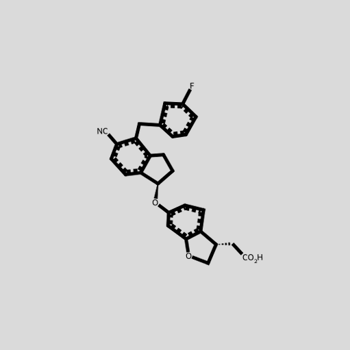 N#Cc1ccc2c(c1Cc1cccc(F)c1)CC[C@H]2Oc1ccc2c(c1)OC[C@H]2CC(=O)O